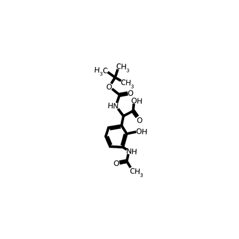 CC(=O)Nc1cccc(C(NC(=O)OC(C)(C)C)C(=O)O)c1O